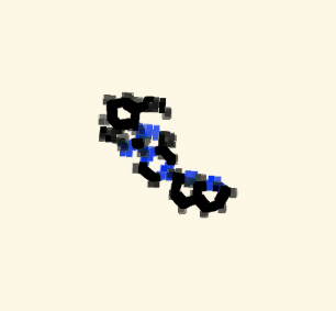 CCC1CN(c2ccc3cccnc3n2)CCN1C(=NC#N)Nc1ccccc1C